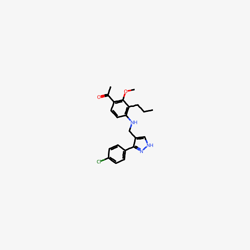 CCCc1c(NCc2c[nH]nc2-c2ccc(Cl)cc2)ccc(C(C)=O)c1OC